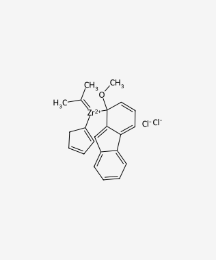 CO[C]1([Zr+2]([C]2=CC=CC2)=[C](C)C)C=CC=C2C1=Cc1ccccc12.[Cl-].[Cl-]